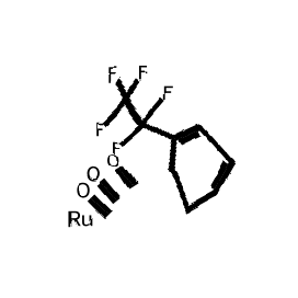 C=O.C=O.C=O.FC(F)(F)C(F)(F)C1=CC=CCC1.[Ru]